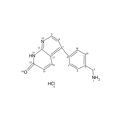 Cl.NCc1ccc(-c2ccnc3[nH]c(=O)ccc23)cc1